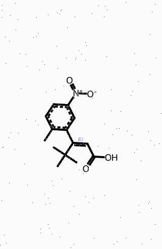 Cc1ccc([N+](=O)[O-])cc1/C(=C/C(=O)O)C(C)(C)C